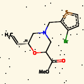 C=C[C@@H]1CN(Cc2sccc2Br)CC(C(=O)OC)O1